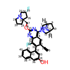 C#Cc1cc2c(N3C[C@H]4CC[C@@H](C3)N4)nc(OC[C@@]34CCCN3C[C@H](F)C4)nc2c(F)c1-c1cc(O)cc2ccccc12